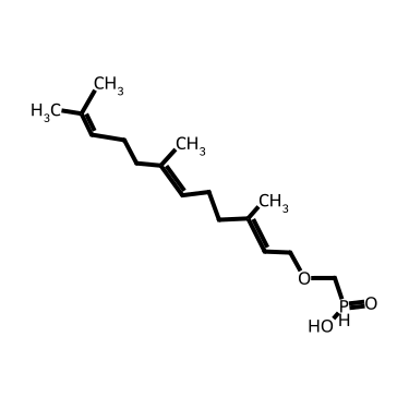 CC(C)=CCC/C(C)=C/CC/C(C)=C/COC[PH](=O)O